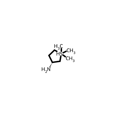 C[SH]1(C)(C)CC[C@@H](N)C1